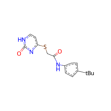 CC(C)(C)c1ccc(NC(=O)CSc2cc[nH]c(=O)n2)cc1